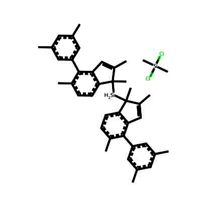 CC1=Cc2c(ccc(C)c2-c2cc(C)cc(C)c2)C1(C)[SiH2]C1(C)C(C)=Cc2c1ccc(C)c2-c1cc(C)cc(C)c1.C[Si](C)(Cl)Cl